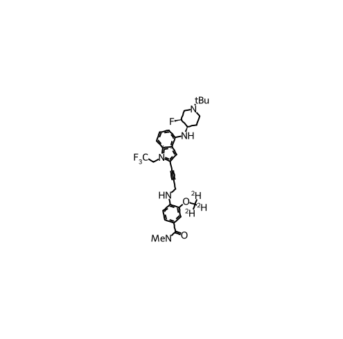 [2H]C([2H])([2H])Oc1cc(C(=O)NC)ccc1NCC#Cc1cc2c(N[C@@H]3CCN(C(C)(C)C)C[C@@H]3F)cccc2n1CC(F)(F)F